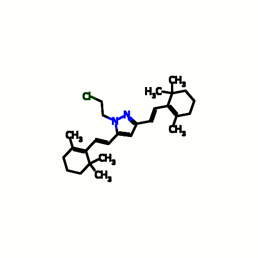 CC1=C(/C=C/c2cc(/C=C/C3=C(C)CCCC3(C)C)n(CCCl)n2)C(C)(C)CCC1